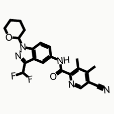 Cc1c(C#N)cnc(C(=O)Nc2ccc3c(c2)c(C(F)F)nn3C2CCCCO2)c1C